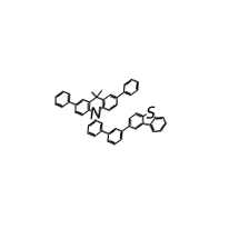 CC1(C)c2cc(-c3ccccc3)ccc2N(c2cccc(-c3cccc(-c4ccc5sc6ccccc6c5c4)c3)c2)c2ccc(-c3ccccc3)cc21